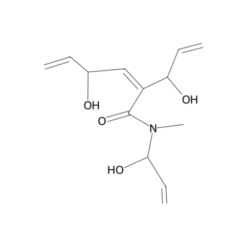 C=CC(O)C=C(C(=O)N(C)C(O)C=C)C(O)C=C